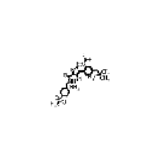 CCn1nc(C(=O)NC[C@]2(N)CC[C@H](S(C)(=O)=O)CC2)c(Cl)c1-c1ccc(CC(C)(C)C(F)(F)F)cc1OC(F)F